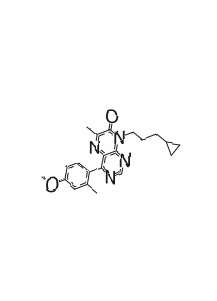 COc1ccc(-c2ncnc3c2nc(C)c(=O)n3CCCC2CC2)c(C)c1